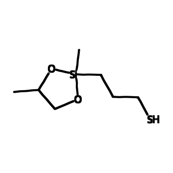 CC1CO[Si](C)(CCCS)O1